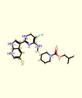 CC(C)COC(=O)N1CCC[C@H](CNC2=C(F)CNC(C3=CNC4NC=C(Cl)C=C34)=N2)C1